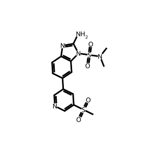 CN(C)S(=O)(=O)n1c(N)nc2ccc(-c3cncc(S(C)(=O)=O)c3)cc21